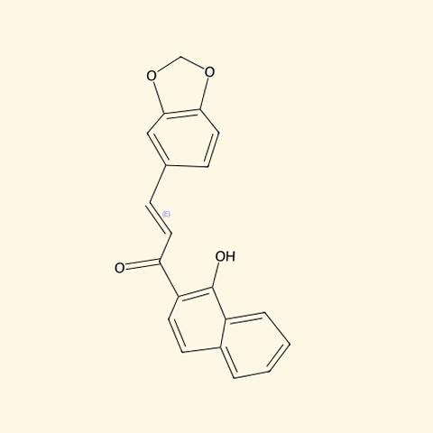 O=C(/C=C/c1ccc2c(c1)OCO2)c1ccc2ccccc2c1O